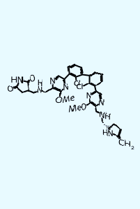 C=C1CC[C@@H](CNCc2ncc(-c3cccc(-c4cccc(-c5cnc(CNCC6CC(=O)NC6=O)c(OC)n5)c4Cl)c3Cl)nc2OC)N1